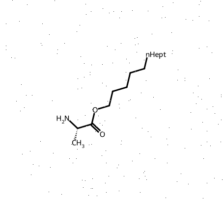 CCCCCCCCCCCCOC(=O)[C@H](C)N